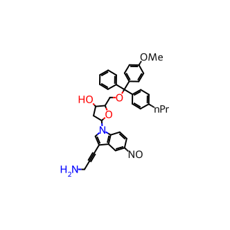 CCCc1ccc(C(OCC2OC(n3cc(C#CCN)c4cc(N=O)ccc43)CC2O)(c2ccccc2)c2ccc(OC)cc2)cc1